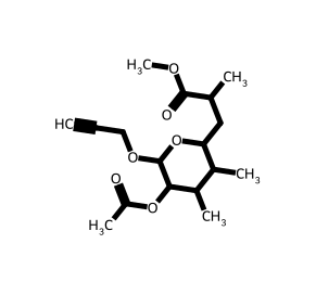 C#CCOC1OC(CC(C)C(=O)OC)C(C)C(C)C1OC(C)=O